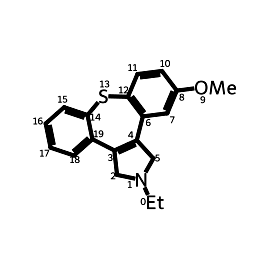 CCN1CC2=C(C1)c1cc(OC)ccc1Sc1ccccc12